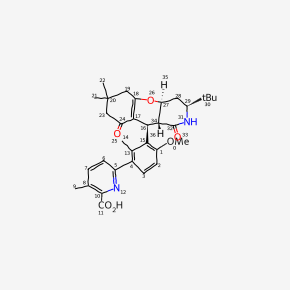 COc1ccc(-c2ccc(C)c(C(=O)O)n2)c(C)c1[C@H]1C2=C(CC(C)(C)CC2=O)O[C@H]2C[C@@H](C(C)(C)C)NC(=O)[C@@H]21